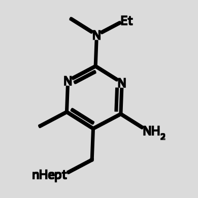 CCCCCCCCc1c(C)nc(N(C)CC)nc1N